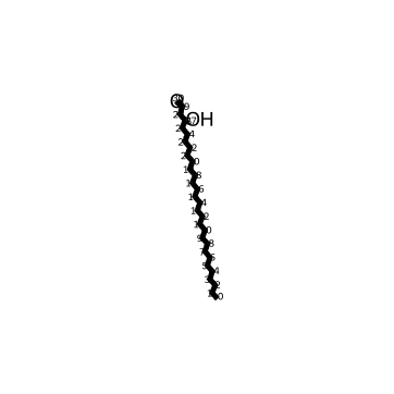 CCCCCCCCCCCCCCCCCCCCCCCCCCC(O)C[C]=O